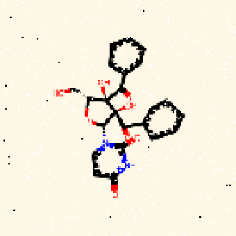 O=C(c1ccccc1)[C@@]1(O)[C@@H](CO)O[C@@H](n2ccc(=O)[nH]c2=O)[C@@]1(O)C(=O)c1ccccc1